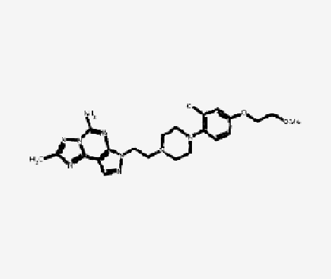 COCCOc1ccc(N2CCN(CCn3ncc4c3nc(N)n3nc(C)nc43)CC2)c(Cl)c1